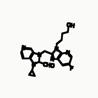 O=CC1N(Cc2nc3cc(F)cnc3n2CCCCO)c2cnccc2N1C1CC1